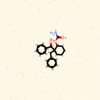 NC(=O)OC1CCCCC1(Cc1ccccc1)C(=O)c1ccccc1